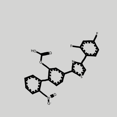 O=C(O)Oc1cc(-c2nc(-c3ccc(F)cc3F)cs2)ccc1-c1ccccc1[N+](=O)[O-]